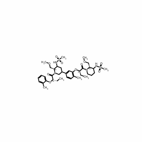 CC[C@H](Oc1ccccc1C)C(=O)N1CC(c2ccc(C)c(O[C@H](CC)C(=O)N3CCCC(NS(C)(=O)=O)[C@@H]3COC)c2)CC(NS(C)(=O)=O)[C@@H]1COC